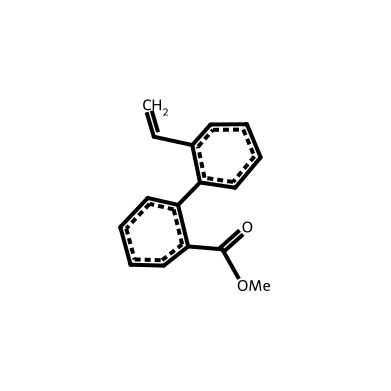 C=Cc1ccccc1-c1ccccc1C(=O)OC